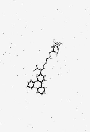 CC(C)N(CCCCOCC(=O)NS(=O)(=O)O)c1cnc(-c2ccccc2)c(-c2ccccc2)n1